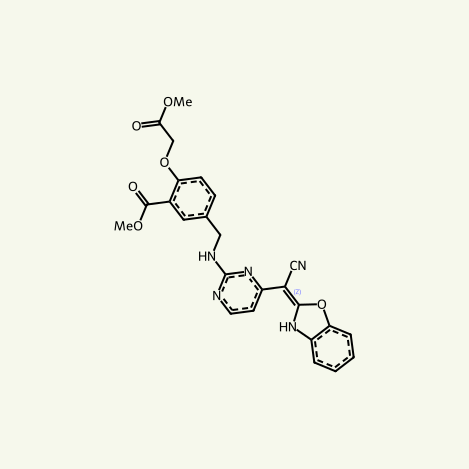 COC(=O)COc1ccc(CNc2nccc(/C(C#N)=C3\Nc4ccccc4O3)n2)cc1C(=O)OC